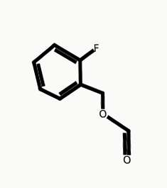 O=COCc1ccccc1F